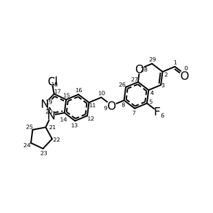 O=CC1=Cc2c(F)cc(OCc3ccc4c(c3)c(Cl)nn4C3CCCC3)cc2OC1